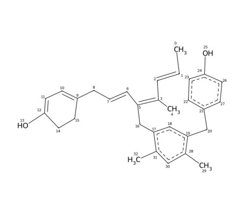 C/C=C/C(C)=C(\C=C\CC1=CC=C(O)CC1)Cc1cc(Cc2ccc(O)cc2)c(C)cc1C